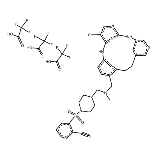 CN(Cc1ccc2cc1CCc1cncc(c1)Nc1ncc(Cl)c(n1)N2)CC1CCN(S(=O)(=O)c2ccccc2C#N)CC1.O=C(O)C(F)(F)F.O=C(O)C(F)(F)F.O=C(O)C(F)(F)F